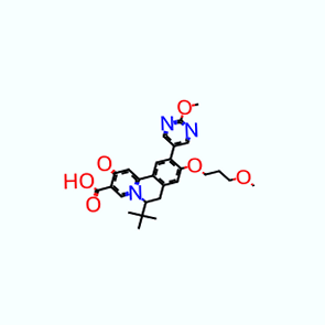 COCCCOc1cc2c(cc1-c1cnc(OC)nc1)-c1cc(=O)c(C(=O)O)cn1C(C(C)(C)C)C2